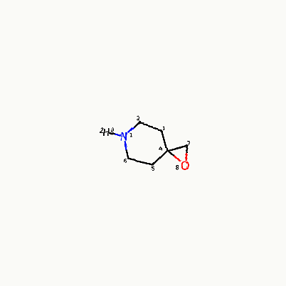 [2H]N1CCC2(CC1)CO2